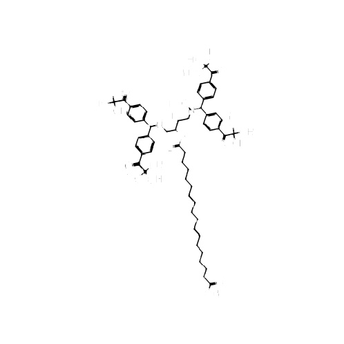 CN(CCC(CN(C)C(c1ccc(C(=O)C(C)(C)O)cc1)c1ccc(C(=O)C(C)(C)O)cc1)OC(=O)CCCCCCCCCCCCCCCCC(=O)O)C(c1ccc(C(=O)C(C)(C)O)cc1)c1ccc(C(=O)C(C)(C)O)cc1